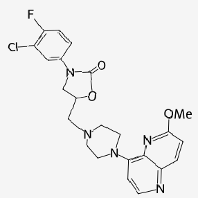 COc1ccc2nccc(N3CCN(CC4CN(c5ccc(F)c(Cl)c5)C(=O)O4)CC3)c2n1